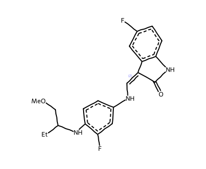 CCC(COC)Nc1ccc(N/C=C2\C(=O)Nc3ccc(F)cc32)cc1F